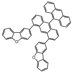 c1ccc2c(-c3c4cccc(-c5ccc6oc7ccccc7c6c5)c4cc4c(-c5ccc6oc7ccccc7c6c5)cccc34)c3ccccc3cc2c1